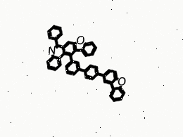 c1ccc(-c2nc3ccccc3c3c(-c4cccc(-c5ccc(-c6ccc7oc8ccccc8c7c6)cc5)c4)c4c(cc23)oc2ccccc24)cc1